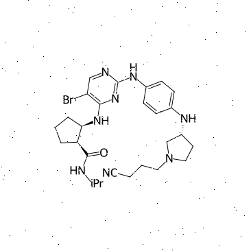 CC(C)NC(=O)[C@H]1CCC[C@H]1Nc1nc(Nc2ccc(N[C@@H]3CCN(CCCC#N)C3)cc2)ncc1Br